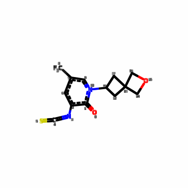 O=c1c(N=C=S)cc(C(F)(F)F)cn1C1CC2(COC2)C1